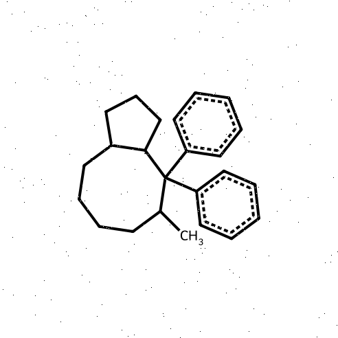 CC1CCCCC2CCC[C]2C1(c1ccccc1)c1ccccc1